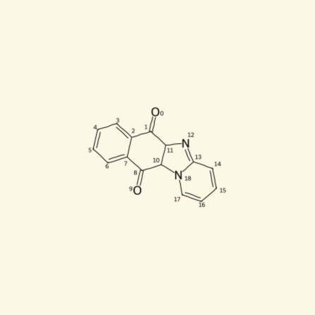 O=C1c2ccccc2C(=O)C2C1N=C1C=CC=CN12